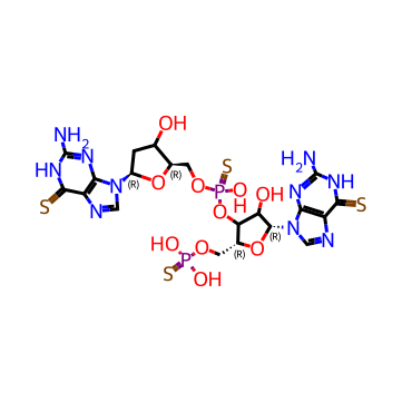 Nc1nc2c(ncn2[C@@H]2O[C@H](COP(O)(O)=S)C(OP(O)(=S)OC[C@H]3O[C@@H](n4cnc5c(=S)[nH]c(N)nc54)CC3O)C2O)c(=S)[nH]1